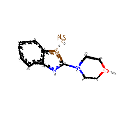 S.c1ccc2sc(N3CCOCC3)nc2c1